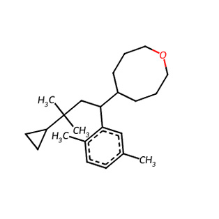 Cc1ccc(C)c(C(CC(C)(C)C2CC2)C2CCCOCCC2)c1